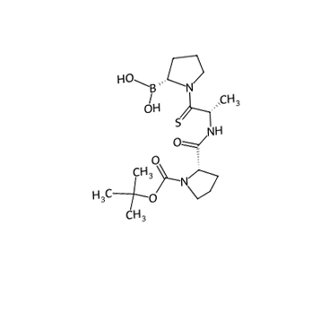 C[C@H](NC(=O)[C@@H]1CCCN1C(=O)OC(C)(C)C)C(=S)N1CCC[C@H]1B(O)O